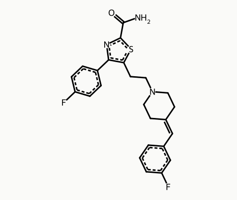 NC(=O)c1nc(-c2ccc(F)cc2)c(CCN2CCC(=Cc3cccc(F)c3)CC2)s1